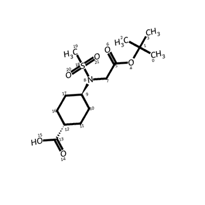 CC(C)(C)OC(=O)CN([C@H]1CC[C@H](C(=O)O)CC1)S(C)(=O)=O